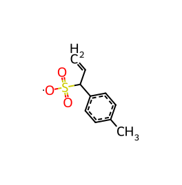 C=CC(c1ccc(C)cc1)S([O])(=O)=O